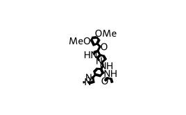 C=CC(=O)Nc1cc(-c2ccn(C)n2)ccc1Nc1ccc2c(C(=O)c3cc(OC)cc(OC)c3)c[nH]c2n1